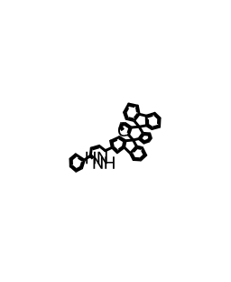 N=C(/C=C\C(=N)c1ccc2c(c1)-c1ccccc1C21c2ccccc2C2(c3ccccc3-c3ccccc32)c2ccccc21)c1ccccc1